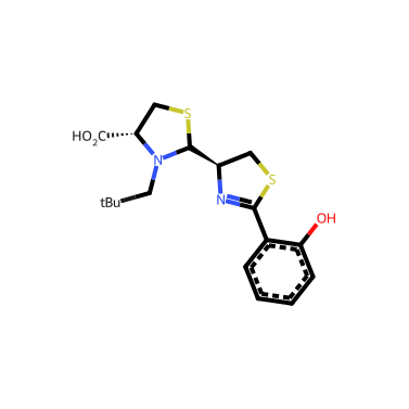 CC(C)(C)CN1C([C@H]2CSC(c3ccccc3O)=N2)SC[C@H]1C(=O)O